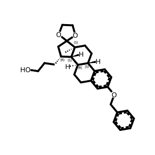 C[C@]12CC[C@@H]3c4ccc(OCc5ccccc5)cc4CC[C@H]3[C@@H]1[C@H](CCCO)CC21OCCO1